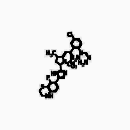 C[C@@H]1CC(c2ncc(-c3ccc4c(c3F)SCCN4)[nH]2)N(C)/C1=C\C(=C/C=O)c1cc(Cl)ccc1N(N)/C=N\N